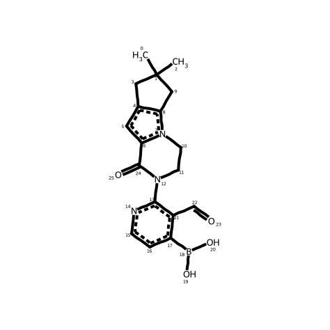 CC1(C)Cc2cc3n(c2C1)CCN(c1nccc(B(O)O)c1C=O)C3=O